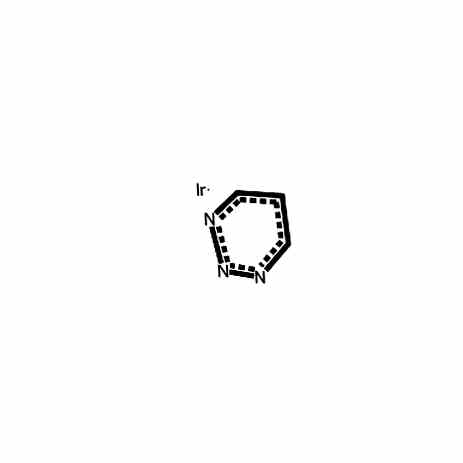 [Ir].c1cnnnc1